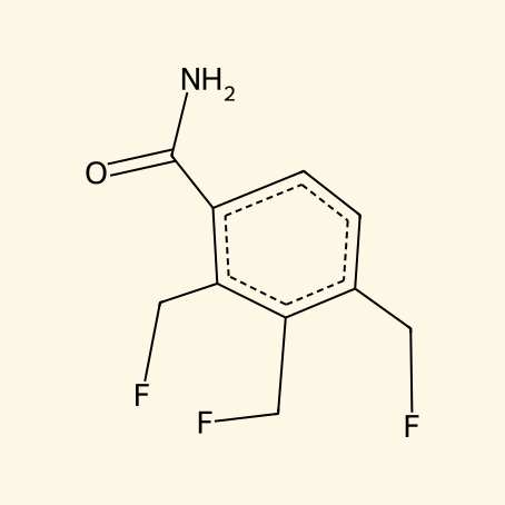 NC(=O)c1ccc(CF)c(CF)c1CF